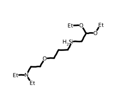 CCOC(C[SiH2]CCCOCCN(CC)CC)OCC